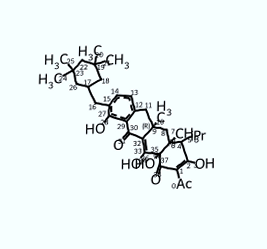 CC(=O)C1=C(O)C(C(C)C)[C@@]2(C)C[C@@]3(C)Cc4ccc(CC5CC(C)(C)CC(C)(C)C5)c(O)c4C(=O)C3=C(O)[C@@]2(O)C1=O